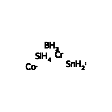 B.[Co].[Cr].[SiH4].[SnH2]